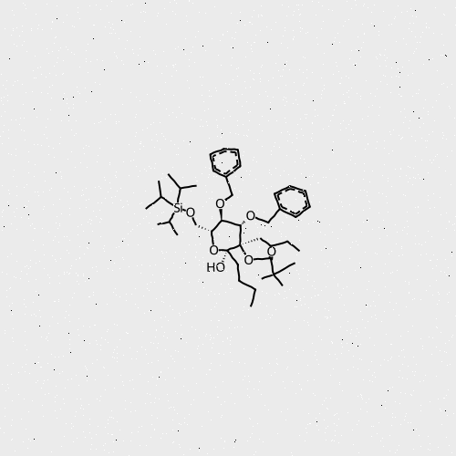 CCCC[C@@]1(O)O[C@H](CO[Si](C(C)C)(C(C)C)C(C)C)[C@@H](OCc2ccccc2)[C@H](OCc2ccccc2)[C@@]1(CCCC)OC(=O)C(C)(C)C